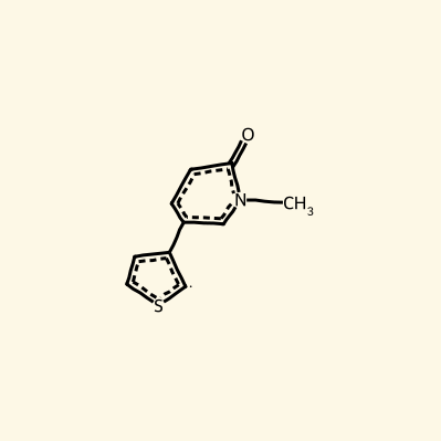 Cn1cc(-c2[c]scc2)ccc1=O